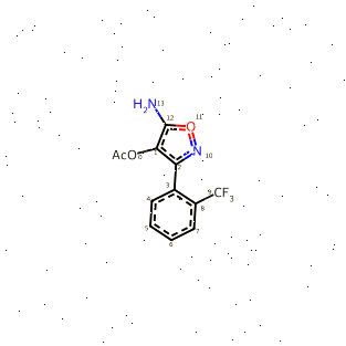 CC(=O)Oc1c(-c2ccccc2C(F)(F)F)noc1N